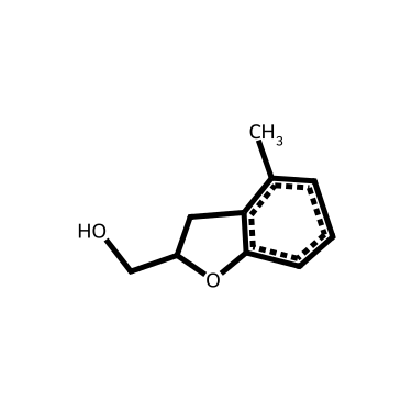 Cc1cccc2c1CC(CO)O2